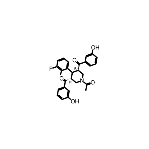 CC(=O)N1C[C@H](C(=O)c2cccc(O)c2)C(c2cccc(F)c2C)[C@@H](C(=O)c2cccc(O)c2)C1